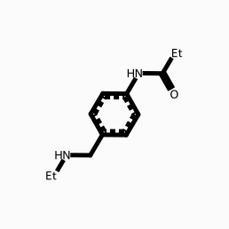 CCNCc1ccc(NC(=O)CC)cc1